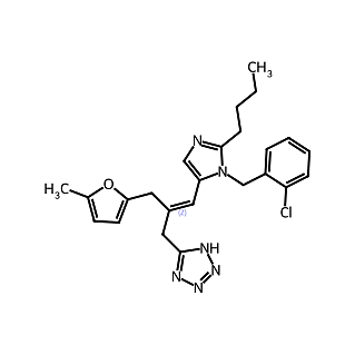 CCCCc1ncc(/C=C(/Cc2nnn[nH]2)Cc2ccc(C)o2)n1Cc1ccccc1Cl